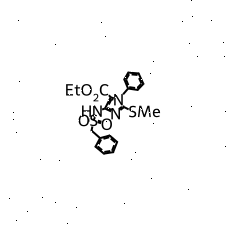 CCOC(=O)c1c(NS(=O)(=O)Cc2ccccc2)nc(SC)n1-c1ccccc1